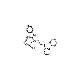 N#CNC1(Nc2ccncc2)C(C(N)=O)N1CCOc1ccccc1-c1ccccc1